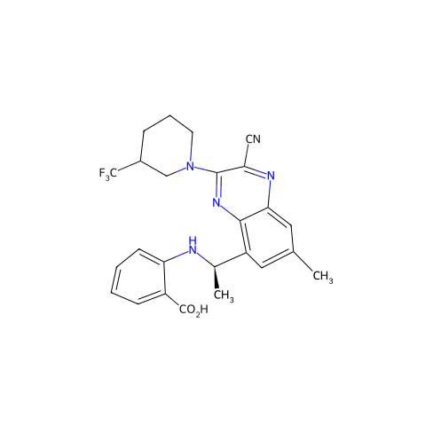 Cc1cc([C@@H](C)Nc2ccccc2C(=O)O)c2nc(N3CCCC(C(F)(F)F)C3)c(C#N)nc2c1